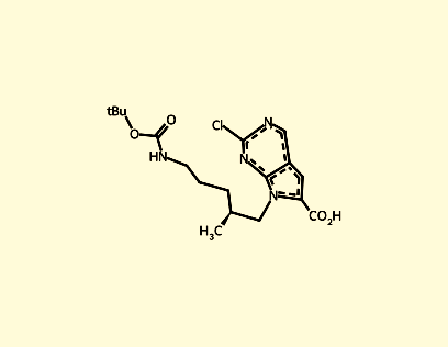 C[C@@H](CCCNC(=O)OC(C)(C)C)Cn1c(C(=O)O)cc2cnc(Cl)nc21